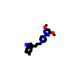 COc1cc(OC)nc(N2CCN(CCCc3c[nH]c4ccc(C)cc34)CC2)n1